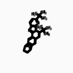 CC(C)(C)c1ccc2nc3c4cc5c(cc4cc(C(C)(C)C)n3c2n1)C1CCC5O1